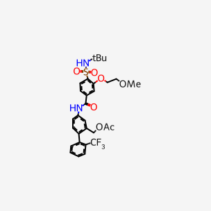 COCCOc1cc(C(=O)Nc2ccc(-c3ccccc3C(F)(F)F)c(COC(C)=O)c2)ccc1S(=O)(=O)NC(C)(C)C